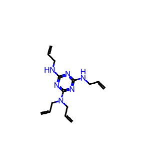 C=CCNc1nc(NCC=C)nc(N(CC=C)CC=C)n1